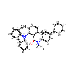 CN(C(=O)c1c(C=O)cccc1-n1c2ccccc2c2cccc(C#N)c21)c1ccc(-c2ccccc2)cc1